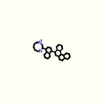 Cn1cccccnc(-c2ccc(C3=Cc4ccc5ccccc5c4C4C=CC=CC34)c3ccccc23)c1